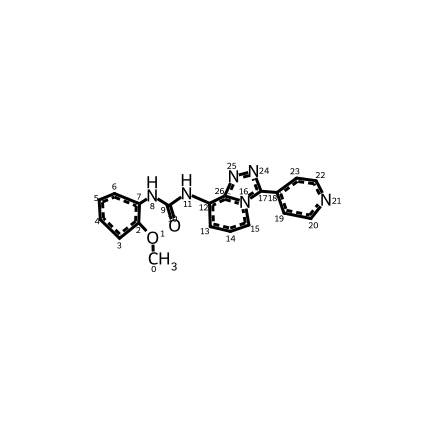 COc1ccccc1NC(=O)Nc1cccn2c(-c3ccncc3)nnc12